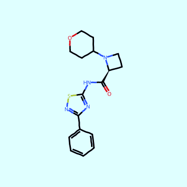 O=C(Nc1nc(-c2ccccc2)ns1)[C@@H]1CCN1C1CCOCC1